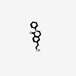 N#CCCc1ccc2c(c1)CCN(C1=CCCC=C1)C2=O